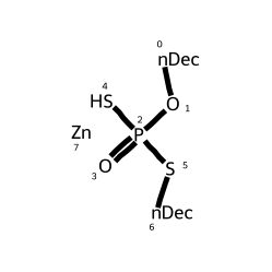 CCCCCCCCCCOP(=O)(S)SCCCCCCCCCC.[Zn]